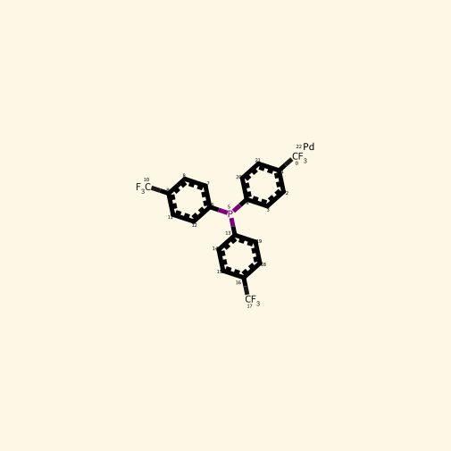 FC(F)(F)c1ccc(P(c2ccc(C(F)(F)F)cc2)c2ccc(C(F)(F)F)cc2)cc1.[Pd]